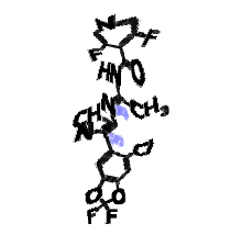 C=N/C(=C\N=C(/C)NC(=O)c1c(F)cncc1F)c1cc2c(cc1Cl)OC(F)(F)O2